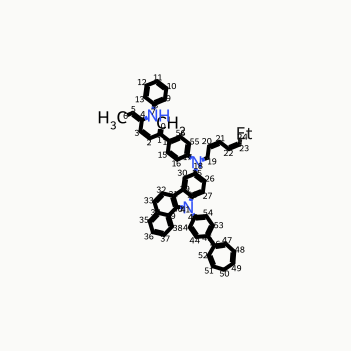 C=C(/C=C\C(=C/C)Nc1ccccc1)c1ccc(N(C/C=C\C=C/CC)c2ccc3c(c2)c2ccc4ccccc4c2n3-c2ccc(C3=CC=CCC=C3)cc2)cc1